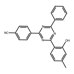 Cc1ccc(-c2nc(-c3ccccc3)nc(-c3ccc(C#N)cc3)n2)c(O)c1